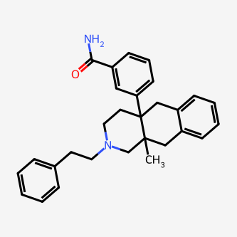 CC12Cc3ccccc3CC1(c1cccc(C(N)=O)c1)CCN(CCc1ccccc1)C2